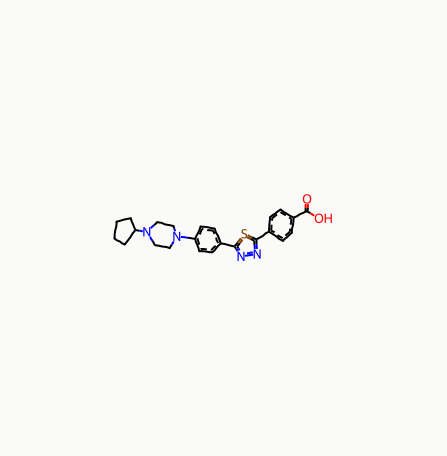 O=C(O)c1ccc(-c2nnc(-c3ccc(N4CCN(C5CCCC5)CC4)cc3)s2)cc1